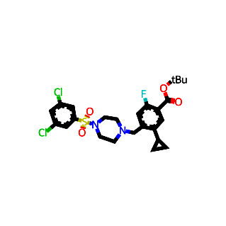 CC(C)(C)OC(=O)c1cc(C2CC2)c(CN2CCN(S(=O)(=O)c3cc(Cl)cc(Cl)c3)CC2)cc1F